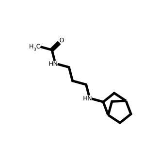 CC(=O)NCCCNC1CC2CCC1C2